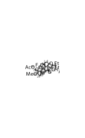 CCC(CC)[C@@H](Oc1ccc(C(F)(F)F)cc1)[C@H](C)OC(=O)[C@@H](NC(=O)c1nccc(OC)c1OCOC(C)=O)C(C)C